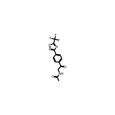 CC(=O)NCC(=O)c1ccc(-c2noc(C(F)(F)F)n2)cc1